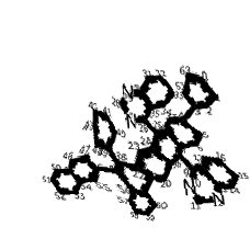 c1ccc(-c2ccc3c(-c4ncnc5ccccc45)c4cc5c(cc4c(-c4ncnc6ccccc46)c3c2)c(-c2ccccc2)c(-c2ccc3ccccc3c2)c2ccccc25)cc1